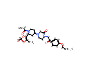 COC(=O)N1CCC(N2CCN(CC(=O)c3ccc(OCC(=O)O)cc3)C(=O)C2)CC1c1oc(=O)oc1C